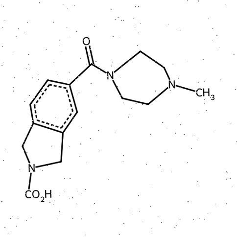 CN1CCN(C(=O)c2ccc3c(c2)CN(C(=O)O)C3)CC1